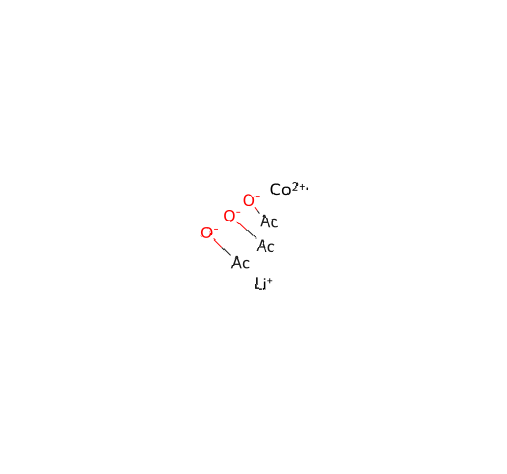 CC(=O)[O-].CC(=O)[O-].CC(=O)[O-].[Co+2].[Li+]